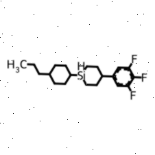 CCCC1CCC([SiH]2CCC(c3cc(F)c(F)c(F)c3)CC2)CC1